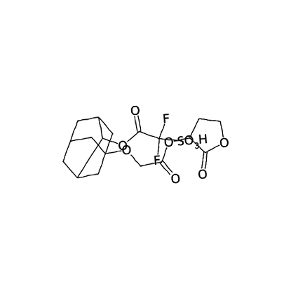 O=C(COC12CC3CC(C1)C(OC(=O)C(F)(F)S(=O)(=O)O)C(C3)C2)OC1CCOC1=O